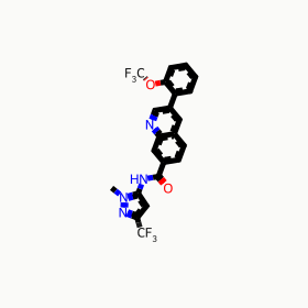 Cn1nc(C(F)(F)F)cc1NC(=O)c1ccc2cc(-c3ccccc3OC(F)(F)F)cnc2c1